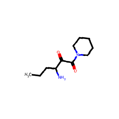 CCCC(N)C(=O)C(=O)N1CCCCC1